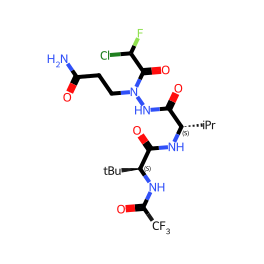 CC(C)[C@H](NC(=O)[C@@H](NC(=O)C(F)(F)F)C(C)(C)C)C(=O)NN(CCC(N)=O)C(=O)C(F)Cl